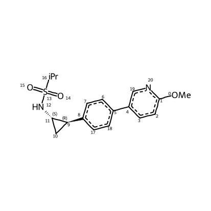 COc1ccc(-c2ccc([C@H]3C[C@@H]3NS(=O)(=O)C(C)C)cc2)cn1